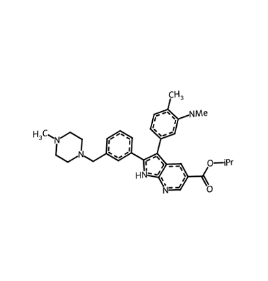 CNc1cc(-c2c(-c3cccc(CN4CCN(C)CC4)c3)[nH]c3ncc(C(=O)OC(C)C)cc23)ccc1C